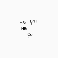 Br.Br.Br.[Cs]